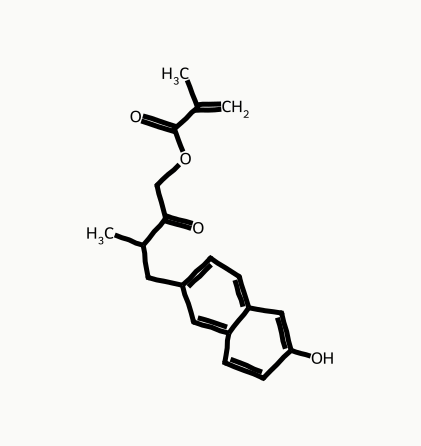 C=C(C)C(=O)OCC(=O)C(C)Cc1ccc2cc(O)ccc2c1